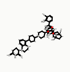 Nc1nnc(-c2cccc(F)c2O)cc1N1C[C@H]2CC[C@@H](C1)N2c1nccc(C2CCN(C3CCC(c4cccc5c4OCCN5[C@@H]4CCC(=O)NC4=O)CC3)CC2)n1